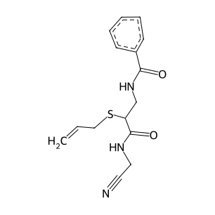 C=CCSC(CNC(=O)c1ccccc1)C(=O)NCC#N